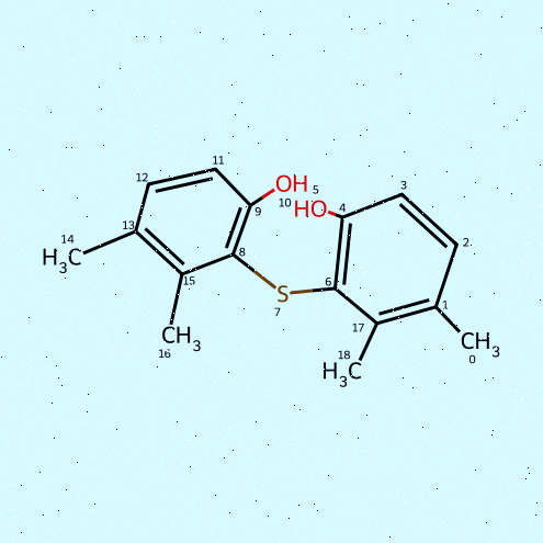 Cc1ccc(O)c(Sc2c(O)ccc(C)c2C)c1C